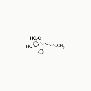 CCCCCCCCCc1ccc(O)cc1C(=O)O.c1ccccc1